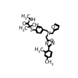 CNC(=O)C(C)(C)Sc1ccc(CN(Cc2ccco2)Cc2nc(-c3ccc(C)cc3C)no2)cc1